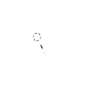 CC(C)(O)C#Cc1ccc(F)cc1